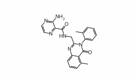 Cc1ccccc1-n1c(CNC(=O)c2nccnc2N)nc2cccc(C)c2c1=O